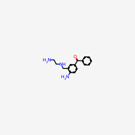 NCCNCc1cc(C(=O)c2ccccc2)ccc1N